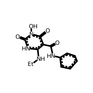 CCNc1[nH]c(=O)n(O)c(=O)c1C(=O)Nc1ccccc1